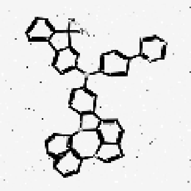 CC1(C)c2ccccc2-c2ccc(N(c3ccc(-c4ncncn4)cc3)c3ccc4c(c3)c3ccc5ccn(-c6ccccc6)c5c3n4-c3ccccc3)cc21